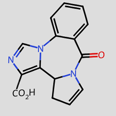 O=C(O)c1ncn2c1C1CC=CN1C(=O)c1ccccc1-2